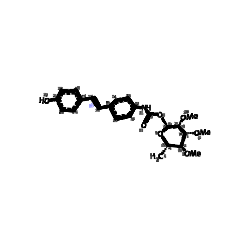 CO[C@@H]1[C@@H](OC)[C@H](C)O[C@@H](OC(=O)Nc2ccc(/C=C/c3ccc(O)cc3)cc2)[C@@H]1OC